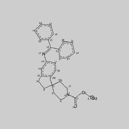 CC(C)(C)OC(=O)N1CCC2(CCc3cc(N=C(c4ccccc4)c4ccccc4)ccc32)CC1